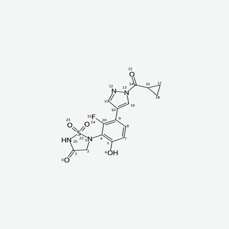 O=C1CN(c2c(O)ccc(-c3cnn(C(=O)C4CC4)c3)c2F)S(=O)(=O)N1